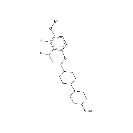 CCCCCC1CCC(C2CCC(COc3ccc(OCC)c(F)c3C(F)F)CC2)CC1